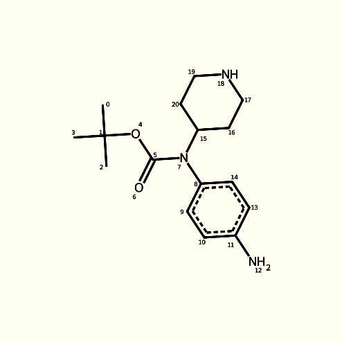 CC(C)(C)OC(=O)N(c1ccc(N)cc1)C1CCNCC1